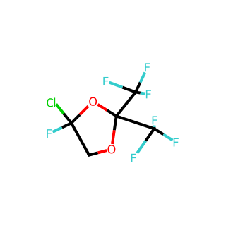 FC1(Cl)COC(C(F)(F)F)(C(F)(F)F)O1